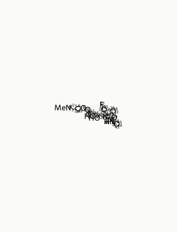 CNC(C)Cc1ccc(OCOC(=O)C[C@H](O)C[C@H](O)CCn2c(-c3ccc(F)cc3)c(-c3ccccc3)c(C(=O)Nc3ccccc3)c2C(C)C)cc1